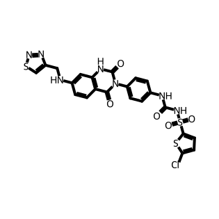 O=C(Nc1ccc(-n2c(=O)[nH]c3cc(NCc4csnn4)ccc3c2=O)cc1)NS(=O)(=O)c1ccc(Cl)s1